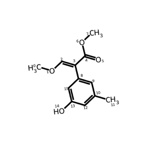 CO/C=C(/C(=O)OC)c1cc(C)cc(O)c1